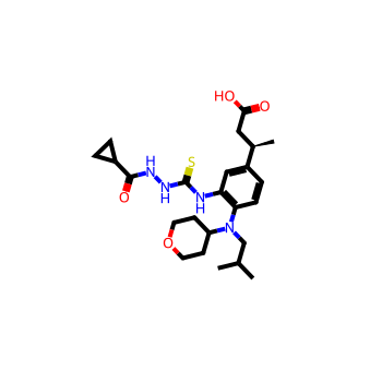 CC(C)CN(c1ccc([C@H](C)CC(=O)O)cc1NC(=S)NNC(=O)C1CC1)C1CCOCC1